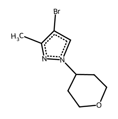 Cc1nn(C2CCOCC2)cc1Br